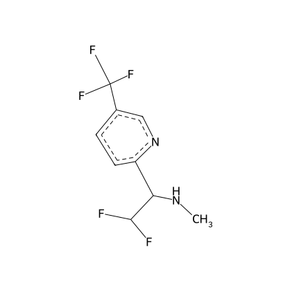 CNC(c1ccc(C(F)(F)F)cn1)C(F)F